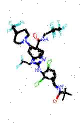 CC(C)(C)C(=O)NCc1ccc(Cl)c(Nc2nc3cc(C(=O)NCC(F)(F)C(F)(F)F)c(N4CCC(C(F)(F)F)CC4)cc3n2CC(F)F)c1Cl